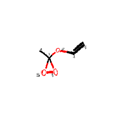 C=COC1(C)OO1